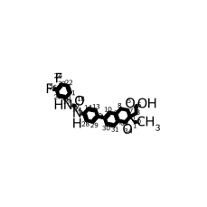 CC[C@]1(CC(=O)O)CCc2cc(-c3ccc(NC(=O)Nc4ccc(F)c(F)c4)cc3)ccc2C1=O